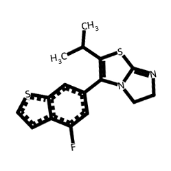 CC(C)C1=C(c2cc(F)c3ccsc3c2)N2CCN=C2S1